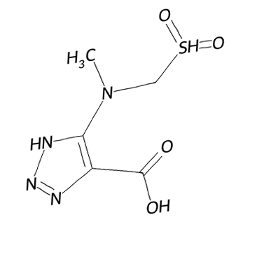 CN(C[SH](=O)=O)c1[nH]nnc1C(=O)O